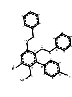 CC(C)c1cc(OCc2ccccc2)c(OCc2ccccc2)c(-c2ccc(F)cc2)c1CO